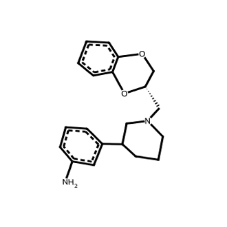 Nc1cccc(C2CCCN(C[C@H]3COc4ccccc4O3)C2)c1